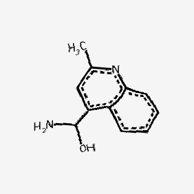 Cc1cc(C(N)O)c2ccccc2n1